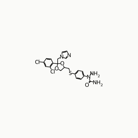 NC(=O)N(N)c1ccc(SCC2COC(Cn3ccnc3)(c3ccc(Cl)cc3Cl)O2)cc1